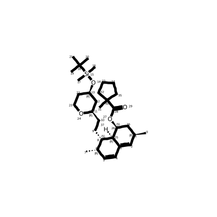 C[C@H]1C=C2C=C[C@H](C)[C@H](CC[C@@H]3C[C@H](O[Si](C)(C)C(C)(C)C)CCO3)[C@H]2[C@@H](OC(=O)C2(C)CCCC2)C1